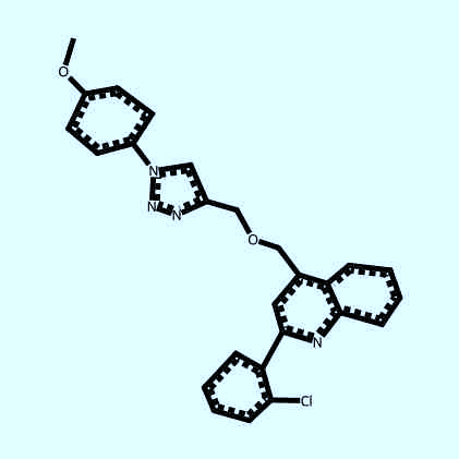 COc1ccc(-n2cc(COCc3cc(-c4ccccc4Cl)nc4ccccc34)nn2)cc1